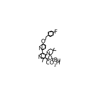 Cc1ncc(-c2ccc(OCCc3ccc(F)cc3)cn2)c(N2CCC(C)(C)CC2)c1[C@H](OC(C)(C)C)C(=O)O